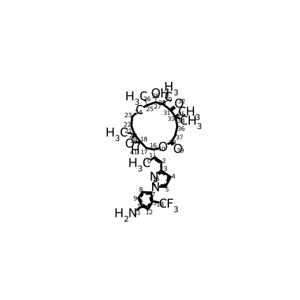 C/C(=C\c1ccn(-c2ccc(N)cc2C(F)(F)F)n1)[C@@H]1C[C@@H]2O[C@]2(C)CCC[C@H](C)[C@H](O)[C@@H](C)C(=O)C(C)(C)CCC(=O)O1